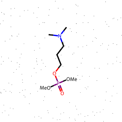 COP(=O)(OC)OCCCN(C)C